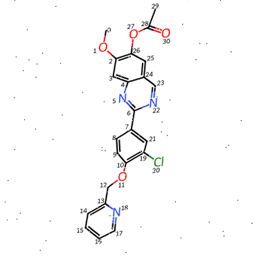 COc1cc2nc(-c3ccc(OCc4ccccn4)c(Cl)c3)ncc2cc1OC(C)=O